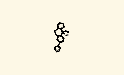 C=CC1(O)c2ccccc2CCc2cc(-c3ccccc3)ccc21